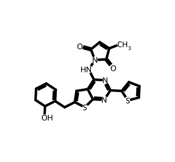 CC1=CC(=O)N(Nc2nc(-c3cccs3)nc3sc(CC4=CC=CCC4O)cc23)C1=O